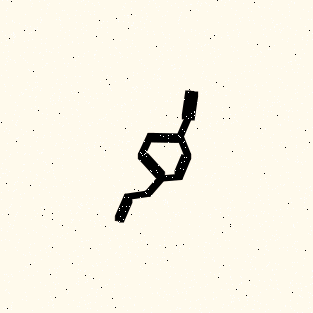 C#Cc1ccc(CC=C)cc1